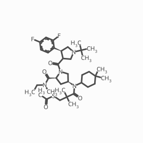 CCN(C)C(=O)[C@@H]1C[C@H](N(C(=O)C(C)(C)CSC(C)=O)C2CCC(C)(C)CC2)CN1C(=O)C1CN(C(C)(C)C)C[C@@H]1c1ccc(F)cc1F